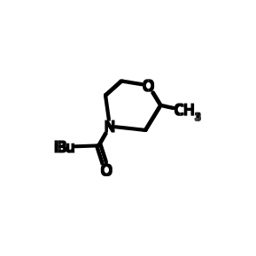 CCC(C)C(=O)N1CCOC(C)C1